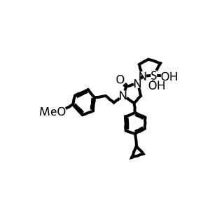 COc1ccc(CCN2C(=O)N(N3CCCS3(O)O)CC2c2ccc(C3CC3)cc2)cc1